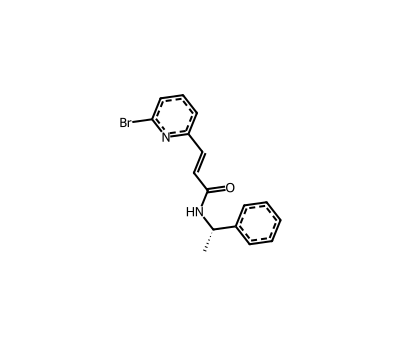 C[C@H](NC(=O)C=Cc1cccc(Br)n1)c1ccccc1